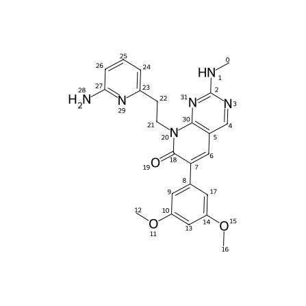 CNc1ncc2cc(-c3cc(OC)cc(OC)c3)c(=O)n(CCc3cccc(N)n3)c2n1